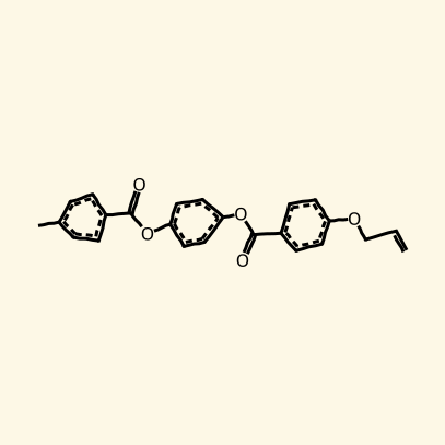 C=CCOc1ccc(C(=O)Oc2ccc(OC(=O)c3ccc(C)cc3)cc2)cc1